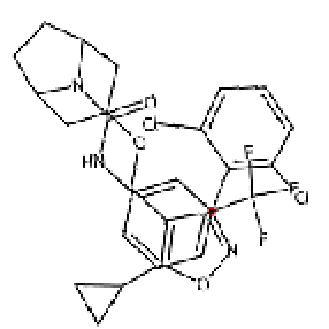 O=C(Nc1cccc(C(F)(F)F)c1)N1C2CCC1CC(OCc1c(-c3c(Cl)cccc3Cl)noc1C1CC1)C2